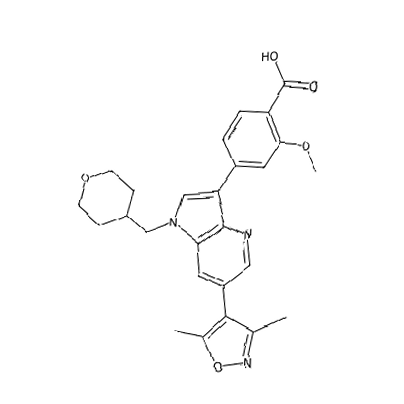 COc1cc(-c2cn(CC3CCOCC3)c3cc(-c4c(C)noc4C)cnc23)ccc1C(=O)O